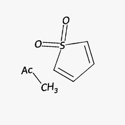 CC(C)=O.O=S1(=O)C=CC=C1